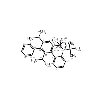 CC(C)c1cc(C(C)C)c(-c2ccccc2P(C(C)(C)C)C(C)(C)C)c(C(C)C)c1-c1ccccc1